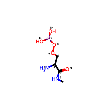 CNC(=O)C(N)COOP(O)O